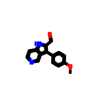 COc1ccc(-c2c(C=O)[nH]c3ccncc23)cc1